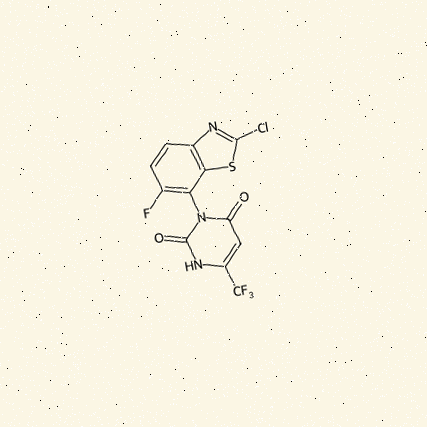 O=c1cc(C(F)(F)F)[nH]c(=O)n1-c1c(F)ccc2nc(Cl)sc12